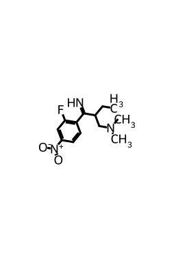 CCC(CN(C)C)C(=N)c1ccc([N+](=O)[O-])cc1F